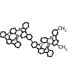 Cc1ccc2c(c1)c1cc(C)cc3c1n2-c1ccccc1B3n1c2ccccc2c2ccc3c4ccc(-c5ccc6c(c5)cc5c7c6c6ccccc6n7-c6ccccc6B5n5c6ccccc6c6ccc7c8ccccc8oc7c65)cc4oc3c21